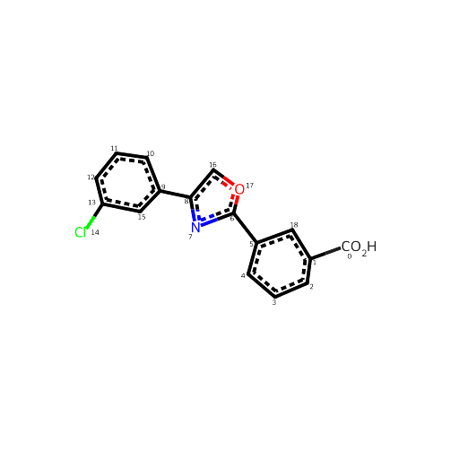 O=C(O)c1cccc(-c2nc(-c3cccc(Cl)c3)co2)c1